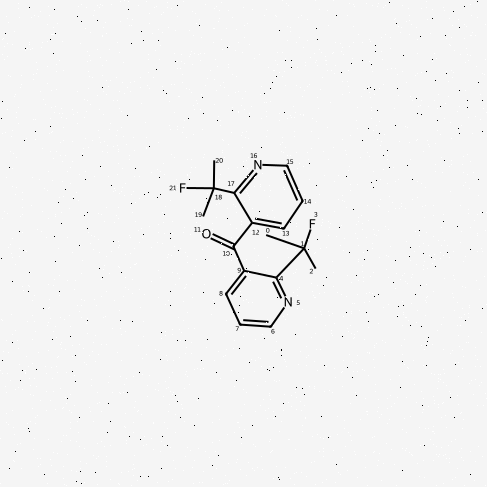 CC(C)(F)c1ncccc1C(=O)c1cccnc1C(C)(C)F